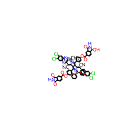 CB(C)n1c(-c2ccc(OC(=O)c3ccc4c(c3)C(=O)NC4O)cc2)c2/c(=C(\C#N)c3ccc4cc(Cl)c(Cl)cc4c3)n(B(c3ccccc3)c3ccccc3)c(-c3ccc(OC(=O)c4ccc5c(c4)C(=O)NC5=O)cc3)c2/c1=C(\C#N)c1cnc2cc(Cl)c(Cl)cc2n1